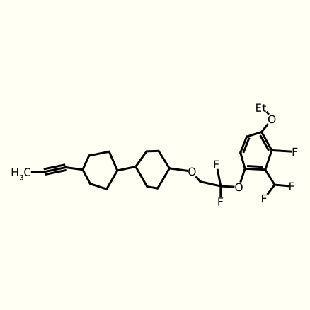 CC#CC1CCC(C2CCC(OCC(F)(F)Oc3ccc(OCC)c(F)c3C(F)F)CC2)CC1